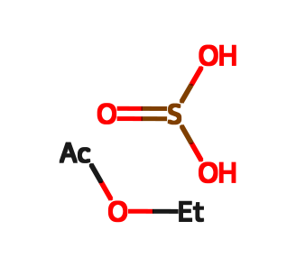 CCOC(C)=O.O=S(O)O